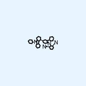 N#Cc1cccc(C#N)c1-n1c2ccccc2c2cc(-c3cccc4c3c3ccccc3n4-c3ccccc3)ccc21